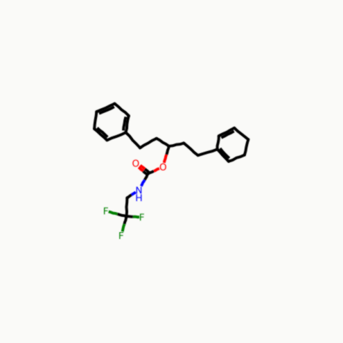 O=C(NCC(F)(F)F)OC(CCC1=CCCC=C1)CCc1ccccc1